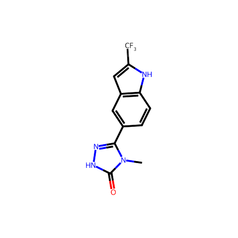 Cn1c(-c2ccc3[nH]c(C(F)(F)F)cc3c2)n[nH]c1=O